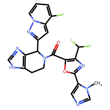 Cn1cncc1-c1nc(C(F)F)c(C(=O)N2CCc3[nH]cnc3C2c2cc3c(F)cccn3n2)o1